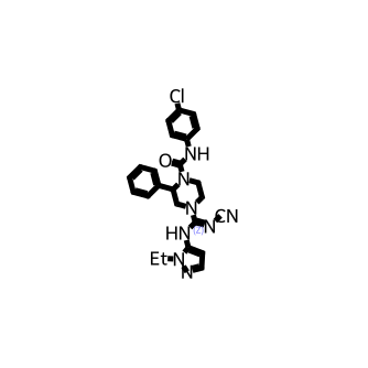 CCn1nccc1N/C(=N/C#N)N1CCN(C(=O)Nc2ccc(Cl)cc2)C(c2ccccc2)C1